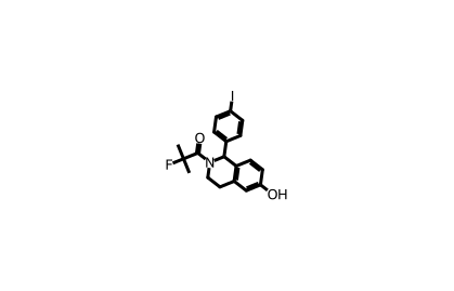 CC(C)(F)C(=O)N1CCc2cc(O)ccc2C1c1ccc(I)cc1